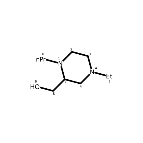 CCCN1CCN(CC)CC1CO